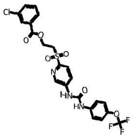 O=C(Nc1ccc(OC(F)(F)F)cc1)Nc1ccc(S(=O)(=O)CCOC(=O)c2cccc(Cl)c2)nc1